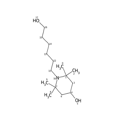 CC1(C)CC(O)CC(C)(C)N1CCCCCCO